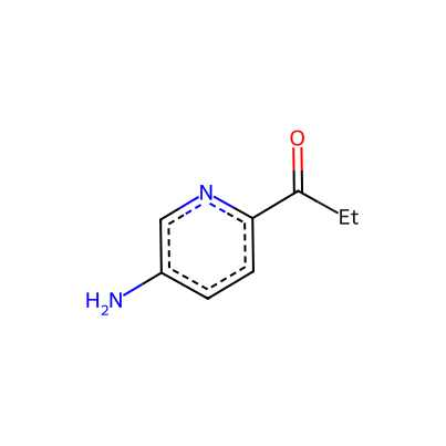 CCC(=O)c1ccc(N)cn1